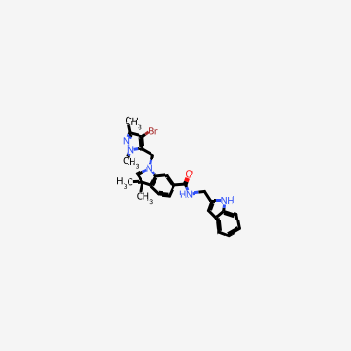 Cc1nn(C)c(CN2CC(C)(C)c3ccc(C(=O)NCc4cc5ccccc5[nH]4)cc32)c1Br